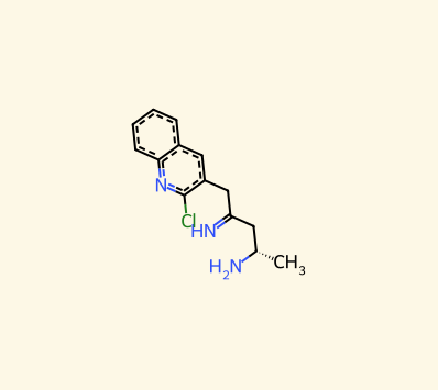 C[C@H](N)CC(=N)Cc1cc2ccccc2nc1Cl